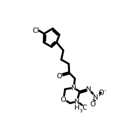 CN1COCN(CC(=O)CCCc2ccc(Cl)cc2)C1=N[N+](=O)[O-]